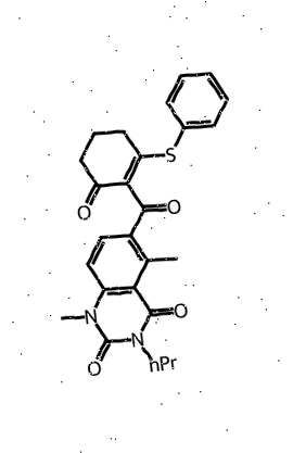 CCCn1c(=O)c2c(C)c(C(=O)C3=C(Sc4ccccc4)CCCC3=O)ccc2n(C)c1=O